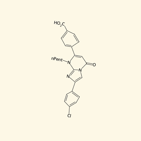 CCCCCn1c(-c2ccc(C(=O)O)cc2)cc(=O)n2cc(-c3ccc(Cl)cc3)nc12